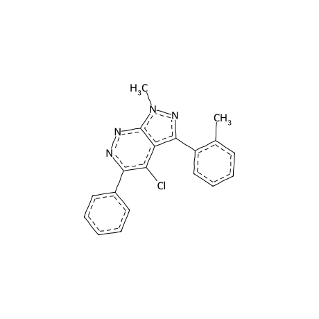 Cc1ccccc1-c1nn(C)c2nnc(-c3ccccc3)c(Cl)c12